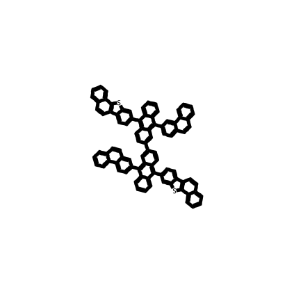 c1ccc2c(c1)ccc1cc(-c3c4ccccc4c(-c4ccc5c(c4)sc4c6ccccc6ccc54)c4ccc(-c5ccc6c(-c7ccc8c(c7)sc7c9ccccc9ccc87)c7ccccc7c(-c7ccc8ccc9ccccc9c8c7)c6c5)cc34)ccc12